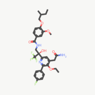 CCOc1c(CC(N)=O)cc([C@@](O)(CNC(=O)c2ccc(OCC(C)CC)c(OC)c2)C(F)(F)F)nc1-c1ccc(F)cc1